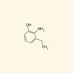 [CH2]Cc1cccc(O)c1N